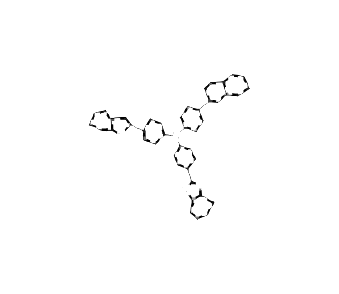 c1ccc2cc(-c3ccc(N(c4ccc(-c5cc6ccccc6s5)cc4)c4ccc(-c5nc6ccccc6s5)cc4)cc3)ccc2c1